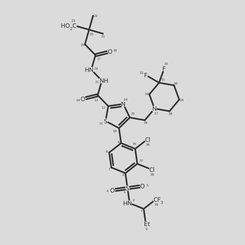 CCC(NS(=O)(=O)c1ccc(-c2sc(C(=O)NNC(=O)CC(C)(C)C(=O)O)nc2CN2CCCC(F)(F)C2)c(Cl)c1Cl)C(F)(F)F